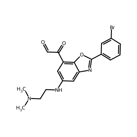 CN(C)CCNc1cc(C(=O)C=O)c2oc(-c3cccc(Br)c3)nc2c1